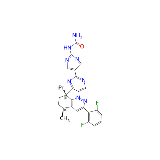 CC(C)[C@]1(c2ccnc(-c3cnc(NC(N)=O)nc3)n2)CC[C@H](C)c2cc(-c3c(F)cccc3F)nnc21